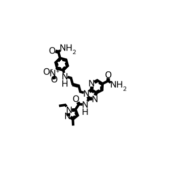 CCn1nc(C)cc1C(=O)Nc1nc2cc(C(N)=O)cnc2n1CC=CCNc1ccc(C(N)=O)cc1[N+](=O)[O-]